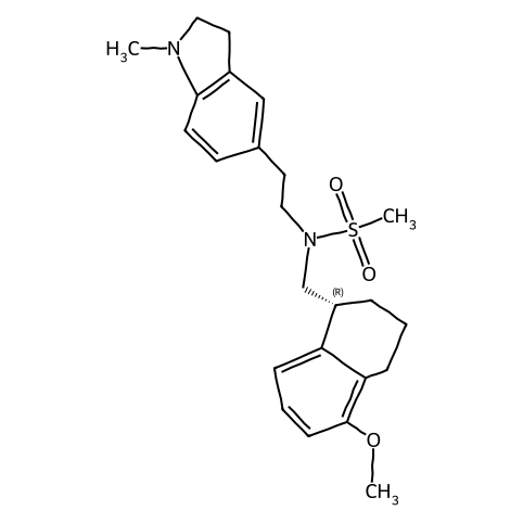 COc1cccc2c1CCC[C@H]2CN(CCc1ccc2c(c1)CCN2C)S(C)(=O)=O